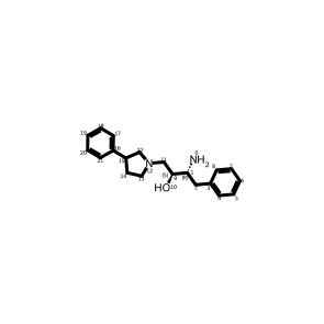 N[C@H](Cc1ccccc1)[C@@H](O)CN1CCC(c2ccccc2)C1